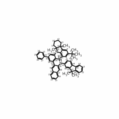 CC(C)(C)c1cc2c3c(c1)C1(C)CCCCC1(C)N3c1cc(-c3ccccc3)cc(-c3cc4ccccc4cc3Nc3ccc4c(c3)C(C)(C)c3ccccc3-4)c1B2